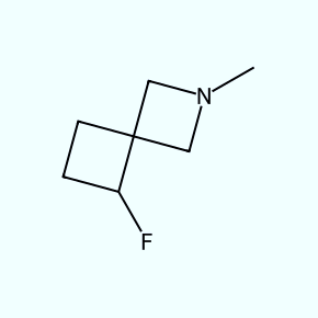 CN1CC2(CCC2F)C1